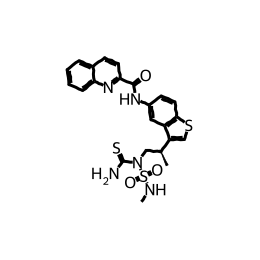 CNS(=O)(=O)N(C[C@H](C)c1csc2ccc(NC(=O)c3ccc4ccccc4n3)cc12)C(N)=S